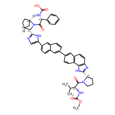 COC(=O)N[C@H](C(=O)N1CCC[C@H]1c1nc2ccc3cc(-c4ccc5cc(-c6cnc([C@@H]7[C@H]8CC[C@H](C8)N7C(=O)[C@H](NC(=O)O)c7ccccc7)[nH]6)ccc5c4)ccc3c2[nH]1)C(C)C